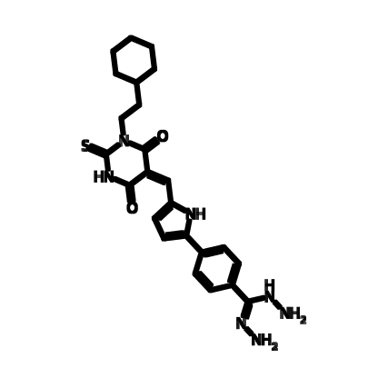 N/N=C(\NN)c1ccc(-c2ccc(/C=C3\C(=O)NC(=S)N(CCC4CCCCC4)C3=O)[nH]2)cc1